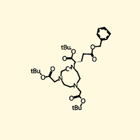 CC(C)(C)OC(=O)CN1CCN(CC(=O)OC(C)(C)C)CCN([C@@H](CCC(=O)OCc2ccccc2)C(=O)OC(C)(C)C)CC1